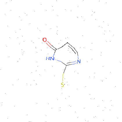 O=c1ccnc([S])[nH]1